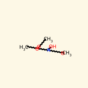 CCCCCCCCOC(CCCCCCCN(CCO)CCCCCCCCCCOC)OCCCCCCCC